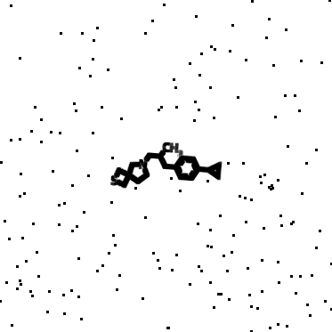 CC(Cc1ccc(C2CC2)cc1)CN1CCC2(CSC2)C1